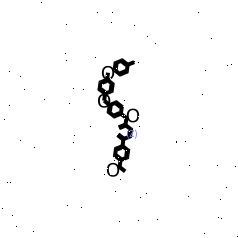 C=C(/C=C\C(=C)c1ccc(C(C)=O)cc1)C(=O)c1ccc(Oc2ccc(Oc3ccc(C)cc3)cc2)cc1